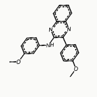 COc1ccc(-c2nc3ccccc3nc2Nc2cccc(OC)c2)cc1